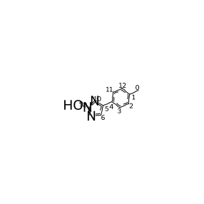 Cc1ccc(-c2cnn(O)n2)cc1